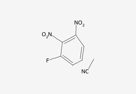 CC#N.O=[N+]([O-])c1cccc(F)c1[N+](=O)[O-]